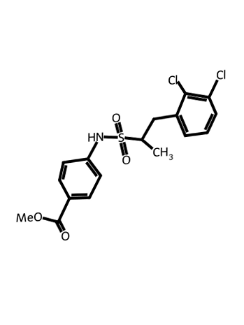 COC(=O)c1ccc(NS(=O)(=O)C(C)Cc2cccc(Cl)c2Cl)cc1